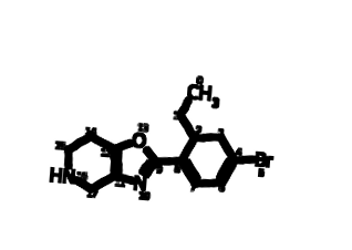 CCC1CC(Br)=CC=C1c1nc2c(o1)CCNC2